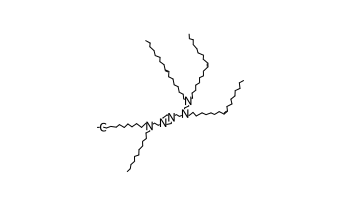 CCCCCCCC/C=C\CCCCCCCCN(CCCCCCC/C=C/CCCCCCCC)CCN(CCCCCCCC/C=C\CCCCCCCC)CCN1CCN(CCN(CCCCCCCCCCCC)CCCCCCCCCCCC)CC1